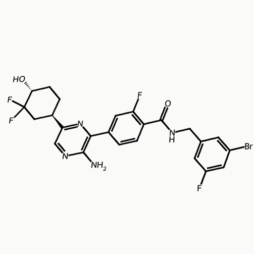 Nc1ncc([C@@H]2CC[C@@H](O)C(F)(F)C2)nc1-c1ccc(C(=O)NCc2cc(F)cc(Br)c2)c(F)c1